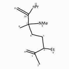 C=C(C)C(CC)CCC(C)(NC)C(=C)CCC